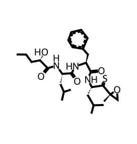 CCC[C@H](O)C(=O)N[C@@H](CC(C)C)C(=O)N[C@@H](Cc1ccccc1)C(=O)N[C@@H](CC(C)C)C(=S)[C@@]1(C)CO1